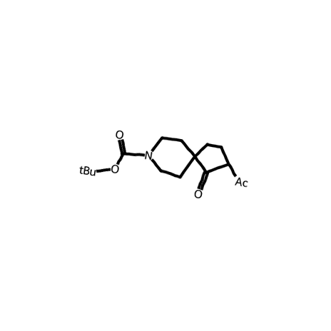 CC(=O)C1CCC2(CCN(C(=O)OC(C)(C)C)CC2)C1=O